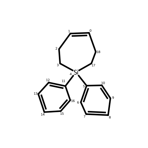 C1=CCC[Si](c2ccccc2)(c2ccccc2)CC1